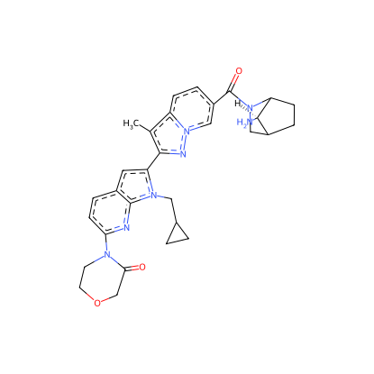 Cc1c(-c2cc3ccc(N4CCOCC4=O)nc3n2CC2CC2)nn2cc(C(=O)N3CC4CCC3[C@@H]4N)ccc12